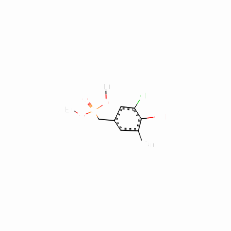 CCOP(=O)(Cc1cc(Cl)c(O)c(C(C)(C)C)c1)OCC